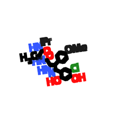 COc1ccc(-c2c(-c3cc(Cl)c(O)cc3O)n[nH]c2C(=O)N[C@H](C)C(=O)NC(C)C)cc1